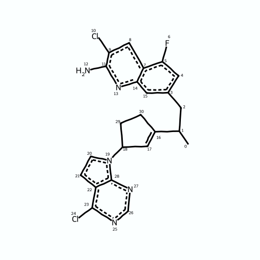 CC(Cc1cc(F)c2cc(Cl)c(N)nc2c1)C1=CC(n2ccc3c(Cl)ncnc32)CC1